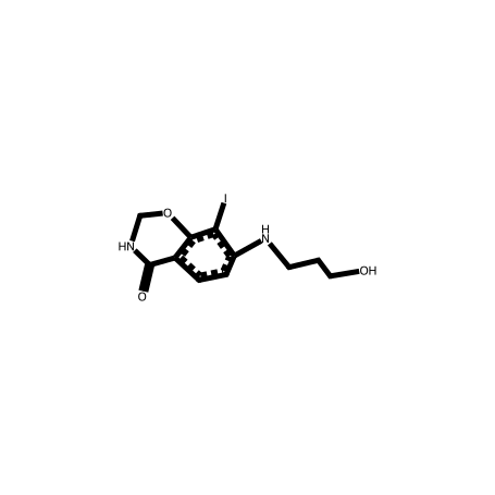 O=C1NCOc2c1ccc(NCCCO)c2I